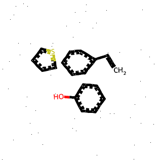 C=Cc1ccccc1.Oc1ccccc1.c1ccsc1